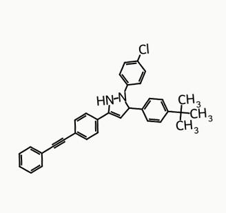 CC(C)(C)c1ccc(C2C=C(c3ccc(C#Cc4ccccc4)cc3)NN2c2ccc(Cl)cc2)cc1